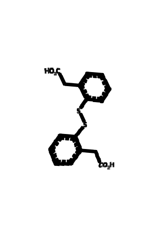 O=C(O)Cc1ccccc1SSc1ccccc1CC(=O)O